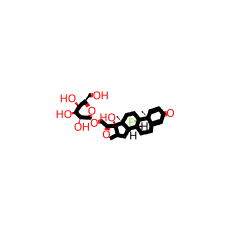 CC1C[C@H]2[C@@H]3CCC4=CC(=O)C=C[C@]4(C)[C@@]3(F)CC[C@]2(C)[C@@]1(O)C(=O)CO[C@@H]1O[C@H](CO)[C@H](O)[C@H](O)[C@H]1O